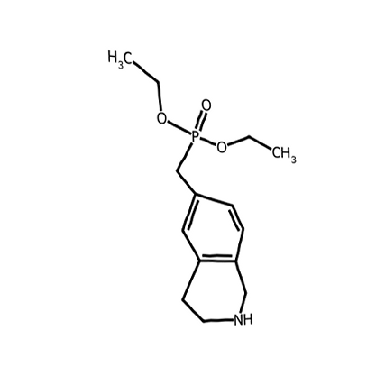 CCOP(=O)(Cc1ccc2c(c1)CCNC2)OCC